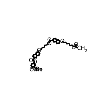 C=CC(=O)OCCCCCCOc1ccc2cc(C(=O)OCCCCCCOc3ccc4cc(C(=O)Oc5ccc(OC)c(C(C)CC)c5)ccc4c3)ccc2c1